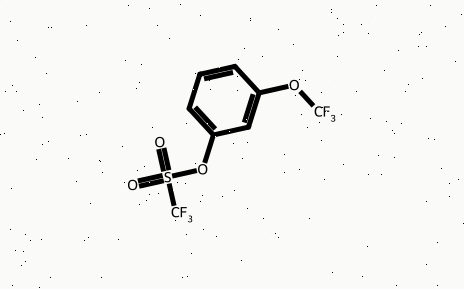 O=S(=O)(Oc1cccc(OC(F)(F)F)c1)C(F)(F)F